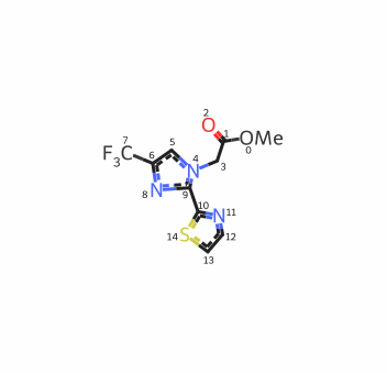 COC(=O)Cn1cc(C(F)(F)F)nc1-c1nccs1